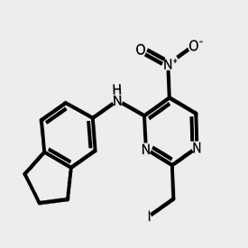 O=[N+]([O-])c1cnc(CI)nc1Nc1ccc2c(c1)CCC2